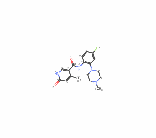 CN1CCN(c2cc(F)ccc2NC(=O)c2c[nH]c(=O)cc2C(F)(F)F)CC1